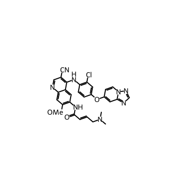 COc1cc2ncc(C#N)c(Nc3ccc(Oc4ccn5ncnc5c4)cc3Cl)c2cc1NC(=O)/C=C/CN(C)C